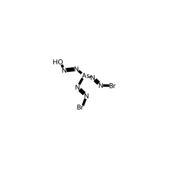 ON=N[As](N=NBr)N=NBr